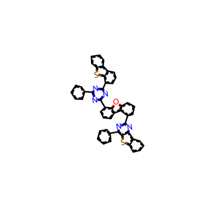 c1ccc(-c2nc(-c3cccc4c3oc3cccc(-c5nc(-c6ccccc6)c6sc7ccccc7c6n5)c34)nc(-c3cccc4c3sc3ccccc34)n2)cc1